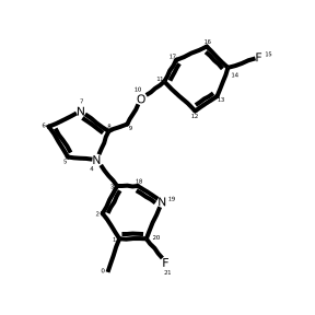 Cc1cc(-n2ccnc2COc2ccc(F)cc2)cnc1F